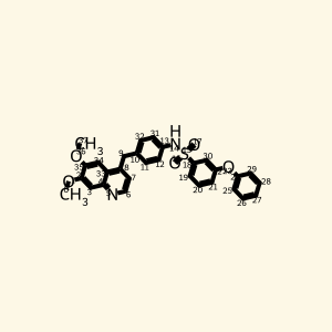 COc1cc2nccc(Cc3ccc(NS(=O)(=O)c4cccc(Oc5ccccc5)c4)cc3)c2cc1OC